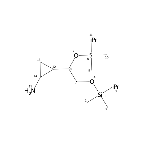 CC(C)[Si](C)(C)OCC(O[Si](C)(C)C(C)C)C1CC1N